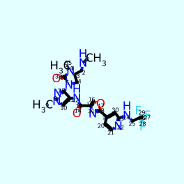 CNCC1CN(c2nn(C)cc2NC(=O)c2coc(-c3ccnc(NCC(F)(F)F)c3)n2)C(=O)N1C